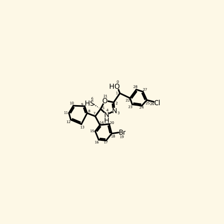 OC(C1=NN[C@@](S)(C(c2ccccc2)c2cccc(Br)c2)O1)c1ccc(Cl)cc1